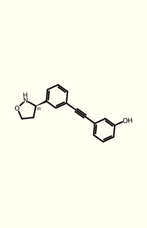 Oc1cccc(C#Cc2cccc([C@H]3CCON3)c2)c1